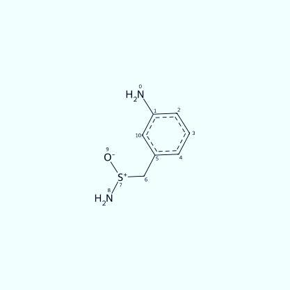 Nc1cccc(C[S+](N)[O-])c1